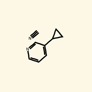 C#N.c1cncc(C2CC2)c1